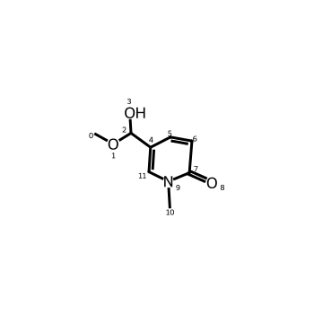 COC(O)c1ccc(=O)n(C)c1